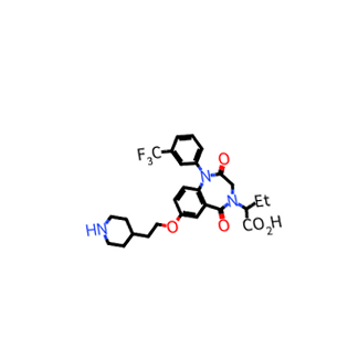 CCC(C(=O)O)N1CC(=O)N(c2cccc(C(F)(F)F)c2)c2ccc(OCCC3CCNCC3)cc2C1=O